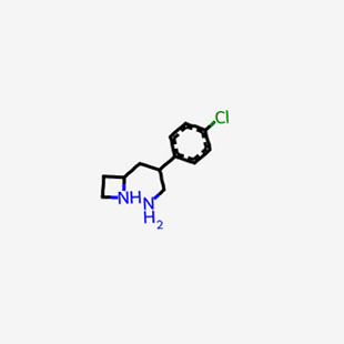 NCC(CC1CCN1)c1ccc(Cl)cc1